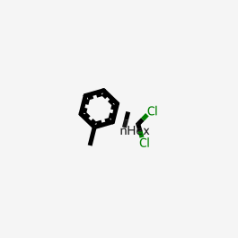 CCCCCCC.Cc1ccccc1.ClCCl